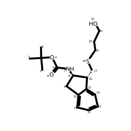 CC(C)(C)OC(=O)N[C@@H]1Cc2ccccc2[C@H]1CSCCCO